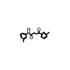 Cc1cccc(NC(=O)CCC(=O)c2cccc(C)c2)c1